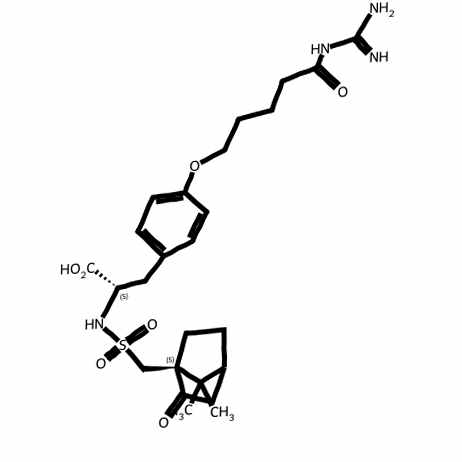 CC1(C)C2CC[C@@]1(CS(=O)(=O)N[C@@H](Cc1ccc(OCCCCC(=O)NC(=N)N)cc1)C(=O)O)C(=O)C2